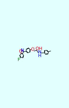 Cc1ccc(CNC[C@@H](O)COc2ccc(-c3noc4cc(F)ccc34)cc2)cc1